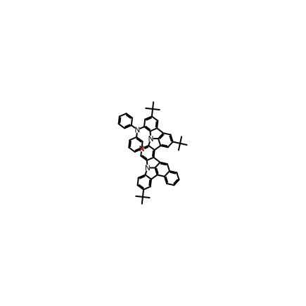 CC(C)(C)c1ccc2c(c1)c1c3ccccc3cc3c4c5c6cc(C(C)(C)C)cc7c8cc(C(C)(C)C)cc(N(c9ccccc9)c9ccccc9)c8n(c5ncc4n2c31)c76